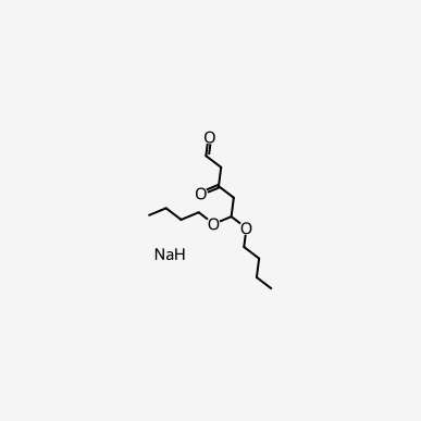 CCCCOC(CC(=O)CC=O)OCCCC.[NaH]